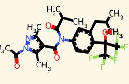 COC(c1ccc(N(C(=O)c2c(C)nn(C(C)=O)c2C)C(=O)C(C)C)cc1CC(C)C)(C(F)(F)F)C(F)(F)F